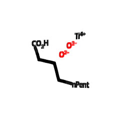 CCCCCCCCC(=O)O.[O-2].[O-2].[Ti+4]